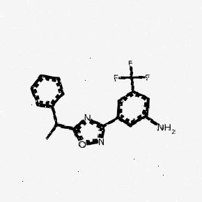 CC(c1ccccc1)c1nc(-c2cc(N)cc(C(F)(F)F)c2)no1